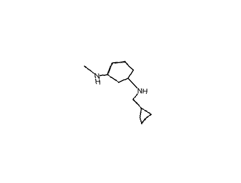 CNC1CCCC(NCC2CC2)C1